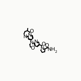 CC1CCN=C2C=C(N3CCOc4cc(C(=O)N5CCCC5C(N)=O)cnc43)C=CN2C1=O